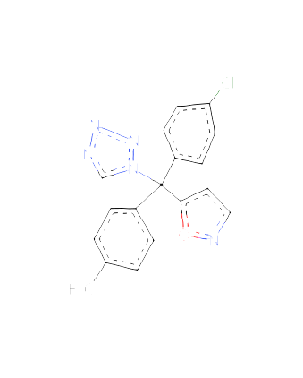 FC(F)(F)c1ccc(C(c2ccc(Cl)cc2)(c2ccno2)n2cnnn2)cc1